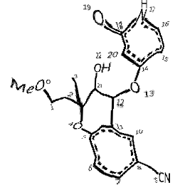 COCC1(C)Oc2ccc(C#N)cc2C(Oc2cc[nH]c(=O)c2)C1O